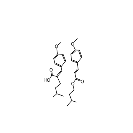 COc1ccc(C=C(CCC(C)C)C(=O)O)cc1.COc1ccc(C=CC(=O)OCCC(C)C)cc1